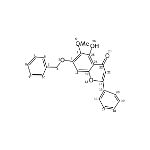 COc1c(OCc2ccccc2)cc2oc(-c3ccccc3)cc(=O)c2c1O